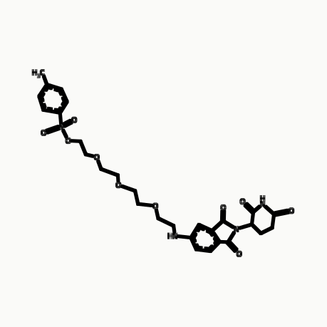 Cc1ccc(S(=O)(=O)OCCOCCOCCOCCNc2ccc3c(c2)C(=O)N(C2CCC(=O)NC2=O)C3=O)cc1